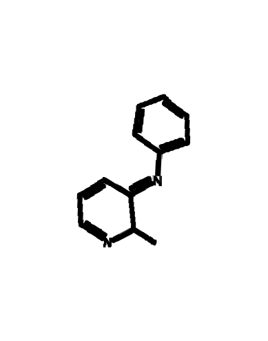 CC1N=CC=CC1=Nc1ccccc1